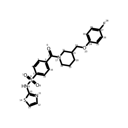 O=C(c1ccc(S(=O)(=O)Nc2nccs2)cc1)N1CCCC(COc2ccc(F)cc2)C1